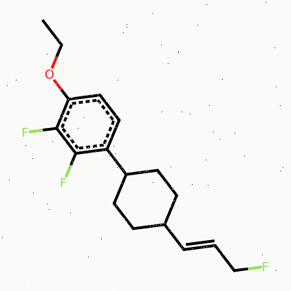 CCOc1ccc(C2CCC(/C=C/CF)CC2)c(F)c1F